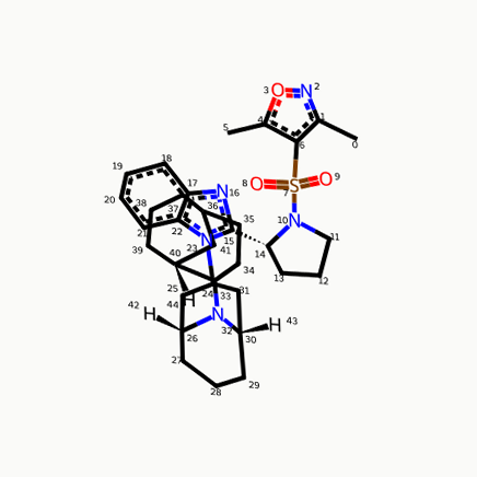 Cc1noc(C)c1S(=O)(=O)N1CCC[C@@H]1c1nc2ccccc2n1C1C[C@H]2CCC[C@@H](C1)N2C1CCC2CCC[C@@H]1C2